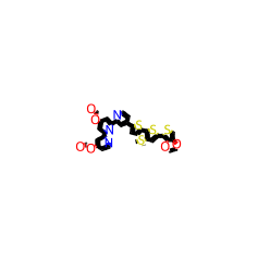 CS1(C)c2cc(-c3ccnc(-c4cc(OC=O)cc(-c5cc(OC=O)ccn5)n4)c3)sc2-c2sc(-c3scc4c3OCCO4)cc21